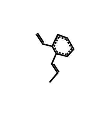 C=Cc1ccccc1C=CC